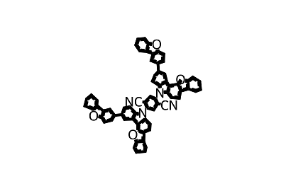 N#Cc1cc(-n2c3ccc(-c4ccc5oc6ccccc6c5c4)cc3c3c4oc5ccccc5c4ccc32)c(C#N)cc1-n1c2ccc(-c3ccc4oc5ccccc5c4c3)cc2c2c3oc4ccccc4c3ccc21